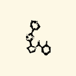 Cc1ccccc1C(=O)N1CCCC1c1nnc(-c2ccncc2)o1